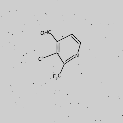 O=Cc1ccnc(C(F)(F)F)c1Cl